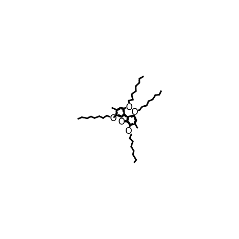 CCCCCCCCOc1c(C)cc(OCCCCCCCC)c2c1oc1c(OCCCCCCCC)c(C)cc(OCCCCCCCC)c12